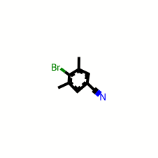 Cc1cc(C#N)cc(C)c1Br